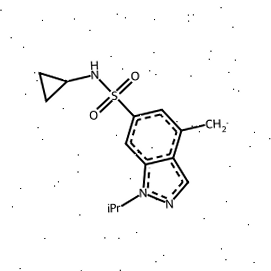 [CH2]c1cc(S(=O)(=O)NC2CC2)cc2c1cnn2C(C)C